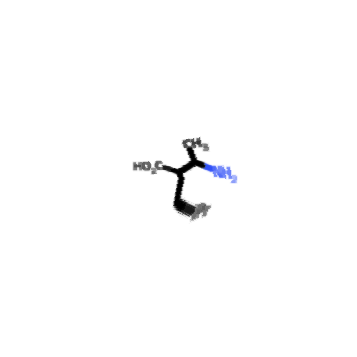 CC(C)CC(C(=O)O)C(C)N